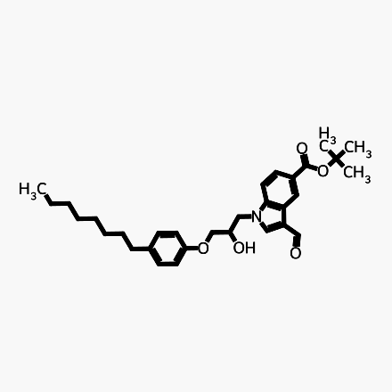 CCCCCCCCc1ccc(OCC(O)Cn2cc(C=O)c3cc(C(=O)OC(C)(C)C)ccc32)cc1